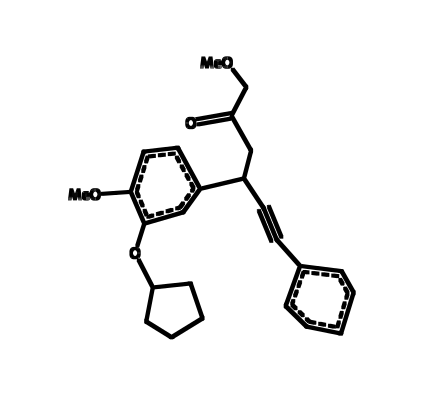 COCC(=O)CC(C#Cc1ccccc1)c1ccc(OC)c(OC2CCCC2)c1